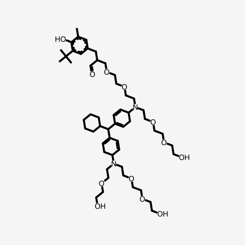 Cc1cc(CC(C=O)COCCOCCN(CCOCCOCCO)C2C=CC(C(C3=CCC(N(CCOCCO)CCOCCOCCO)C=C3)C3CCCCC3)=CC2)cc(C(C)(C)C)c1O